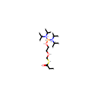 CCC(=O)SCOCCOP(N(C(C)C)C(C)C)N(C(C)C)C(C)C